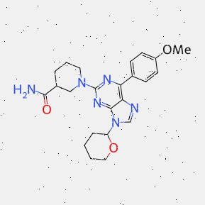 COc1ccc(-c2nc(N3CCCC(C(N)=O)C3)nc3c2ncn3C2CCCCO2)cc1